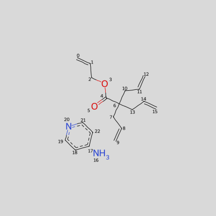 C=CCOC(=O)C(CC=C)(CC=C)CC=C.N.c1ccncc1